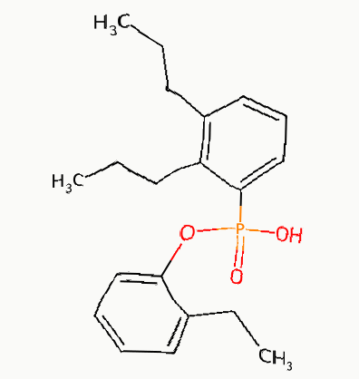 CCCc1cccc(P(=O)(O)Oc2ccccc2CC)c1CCC